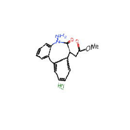 COC(=O)CC1C(=O)N(N)c2ccccc2-c2ccccc21.Cl